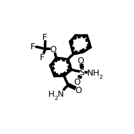 NC(=O)c1ccc(OC(F)(F)F)c(-c2ccccc2)c1S(N)(=O)=O